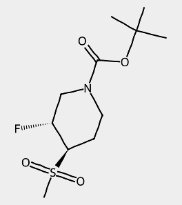 CC(C)(C)OC(=O)N1CC[C@@H](S(C)(=O)=O)[C@H](F)C1